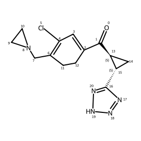 O=C(C1=CC(Cl)=C(CN2CC2)CC1)[C@H]1C[C@@H]1c1nn[nH]n1